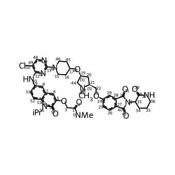 CNC(=O)COc1cc2cc(Nc3nc(N4CCC(O[C@H]5C[C@@H](COc6ccc7c(c6)C(=O)N(C6CCCNC6=O)C7=O)N(C)C5)CC4)ncc3Cl)ccc2n(C(C)C)c1=O